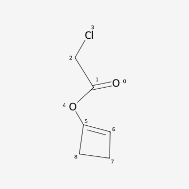 O=C(CCl)OC1=CCC1